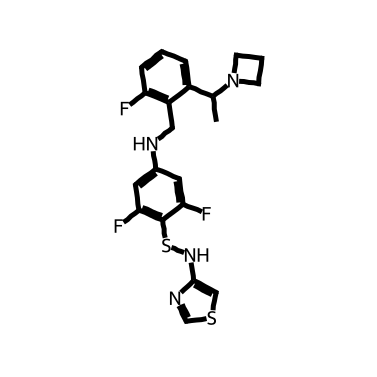 CC(c1cccc(F)c1CNc1cc(F)c(SNc2cscn2)c(F)c1)N1CCC1